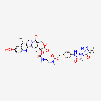 CCc1c2c(nc3ccc(O)cc13)-c1cc3c(c(=O)n1C2)COC(=O)[C@@]3(CC)OC(=O)N(C)CCN(C)C(=O)OCc1ccc(NC(=O)[C@H](C)NC(=O)[C@@H](N)C(C)C)cc1